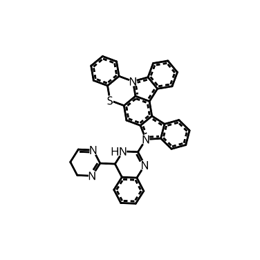 C1=NC(C2NC(n3c4ccccc4c4c5c6ccccc6n6c5c(cc43)Sc3ccccc3-6)=Nc3ccccc32)=NCC1